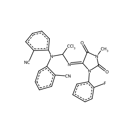 CN1C(=O)C(=NC(N(c2ccccc2C#N)c2ccccc2C#N)C(Cl)(Cl)Cl)N(c2ccccc2F)C1=O